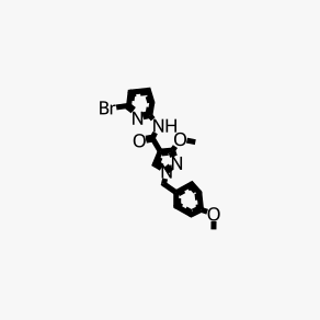 COc1ccc(Cn2cc(C(=O)Nc3cccc(Br)n3)c(OC)n2)cc1